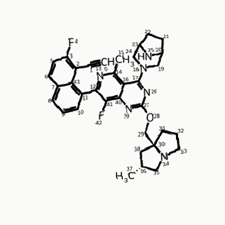 C#Cc1c(F)ccc2cccc(-c3nc(C)c4c(N5CC6CCC(C5)N6)nc(OC[C@@]56CCCN5C[C@H](C)C6)nc4c3F)c12